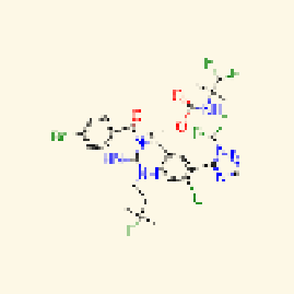 CC(C)(F)CCNC(=N)N(C(=O)c1ccc(Br)cc1)[C@H](COC(=O)NC(C)(C)C(F)F)c1ccc(Cl)c(-c2ncnn2C(F)F)c1